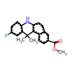 COC(=O)c1ccc2c3c(ccc2c1)Nc1ccc(F)cc1C3(C)C